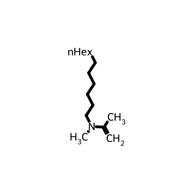 C=C(C)N(C)CCCCCCCCCCCC